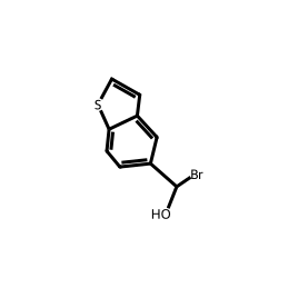 OC(Br)c1ccc2sccc2c1